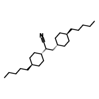 CCCCC[C@H]1CC[C@H](CC(C#N)[C@H]2CC[C@H](CCCCC)CC2)CC1